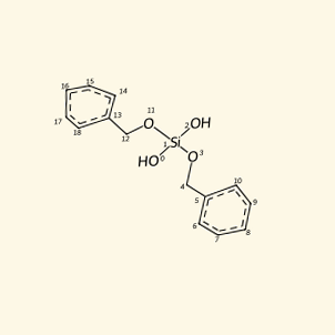 O[Si](O)(OCc1ccccc1)OCc1ccccc1